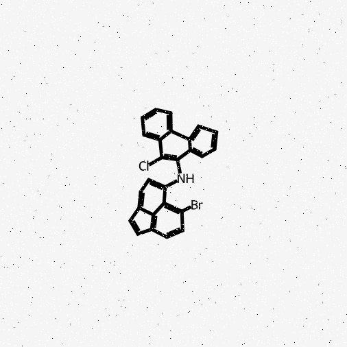 Clc1c(Nc2ccc3c4c(ccc(Br)c24)C=C3)c2ccccc2c2ccccc12